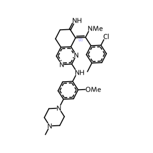 CN/C(=C1\C(=N)CCc2cnc(Nc3ccc(N4CCN(C)CC4)cc3OC)nc21)c1cc(C)ccc1Cl